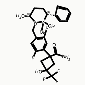 C[C@H]1CC[C@H](c2ccccc2)S(O)(O)N1Cc1cc(F)c(C2(C(N)=O)CC(O)(C(F)(F)F)C2)cc1F